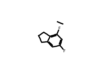 CC.Fc1cc(F)c2c(c1)CCC2